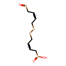 O=[S]C/C=C\CSSC/C=C\CS(=O)O